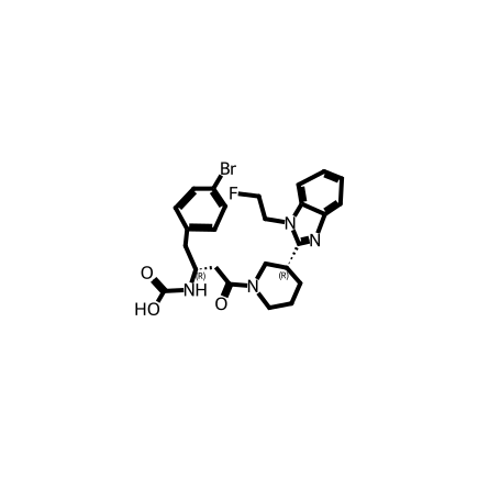 O=C(O)N[C@@H](CC(=O)N1CCC[C@@H](c2nc3ccccc3n2CCF)C1)Cc1ccc(Br)cc1